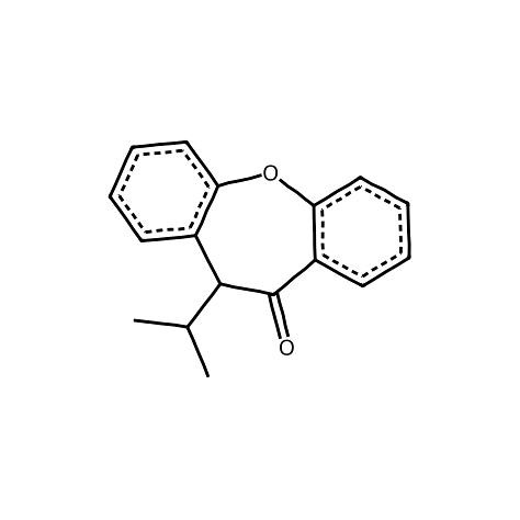 CC(C)C1C(=O)c2ccccc2Oc2ccccc21